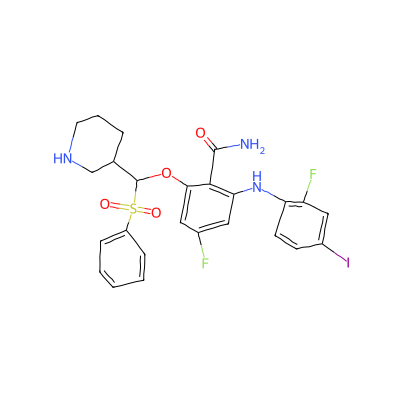 NC(=O)c1c(Nc2ccc(I)cc2F)cc(F)cc1OC(C1CCCNC1)S(=O)(=O)c1ccccc1